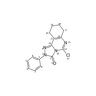 O=c1n(-c2ccccc2)nc2c3c(nc(Cl)n12)CCCC3